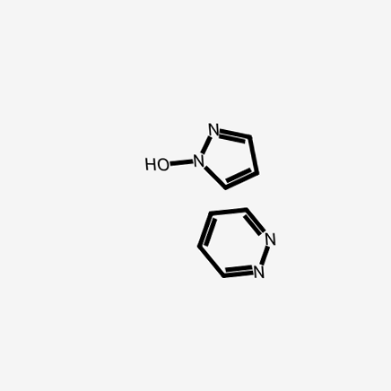 On1cccn1.c1ccnnc1